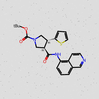 CC(C)(C)OC(=O)N1C[C@H](C(=O)Nc2cccc3cnccc23)[C@@H](c2cccs2)C1